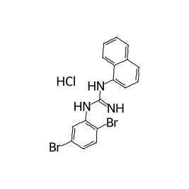 Cl.N=C(Nc1cc(Br)ccc1Br)Nc1cccc2ccccc12